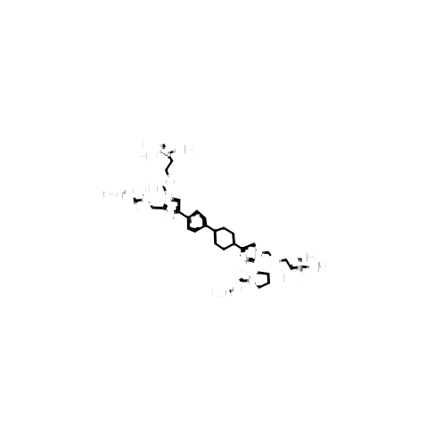 CCCN(Cc1nc(-c2ccc(C3CCC(c4cn(COCC[Si](C)(C)C)c([C@@H]5CCCN5C(=O)OC(C)(C)C)n4)CC3)cc2)cn1COCC[Si](C)(C)C)C(=O)OC(C)(C)C